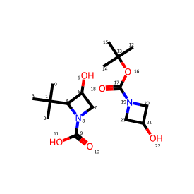 CC(C)(C)C1C(O)CN1C(=O)O.CC(C)(C)OC(=O)N1CC(O)C1